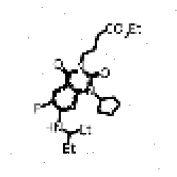 CCOC(=O)CCCn1c(=O)c2cc(F)c(NC(CC)CC)cc2n(C2CCCC2)c1=O